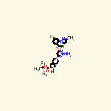 Cc1ccn(-c2cc(Cl)ccc2[C@@H](Oc2cc(N3CCC4(CC3)CN[C@H](C(=O)OC(C)(C)C)C4)nc(N)n2)C(F)(F)F)n1